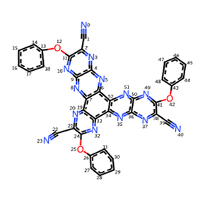 N#Cc1nc2nc3c(nc2nc1Oc1ccccc1)c1nc(C#N)c(Oc2ccccc2)nc1c1nc2nc(C#N)c(Oc4ccccc4)nc2nc13